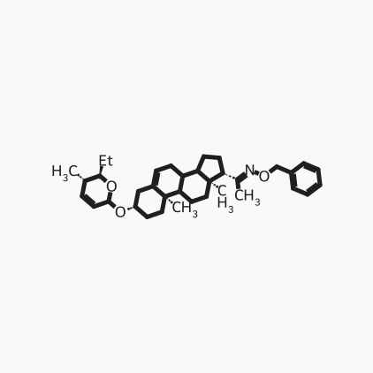 CC[C@H]1OC(O[C@H]2CC[C@@]3(C)C(=CCC4C3CC[C@@]3(C)C4CC[C@@H]3/C(C)=N/OCc3ccccc3)C2)C=C[C@@H]1C